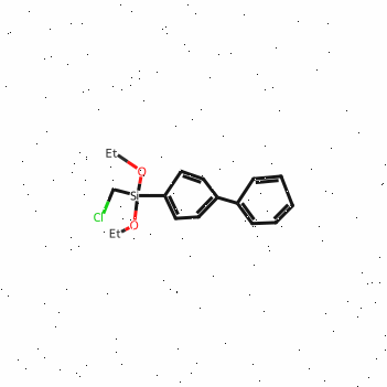 CCO[Si](CCl)(OCC)c1ccc(-c2ccccc2)cc1